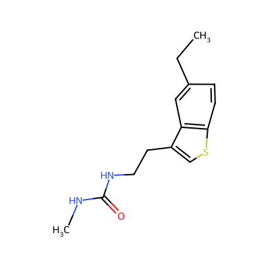 CCc1ccc2scc(CCNC(=O)NC)c2c1